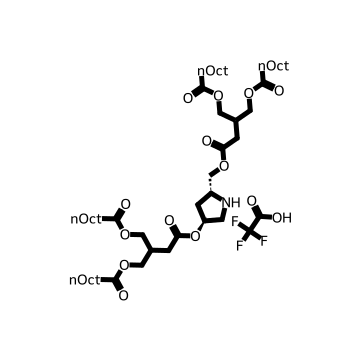 CCCCCCCCC(=O)OCC(COC(=O)CCCCCCCC)CC(=O)OC[C@H]1C[C@H](OC(=O)CC(COC(=O)CCCCCCCC)COC(=O)CCCCCCCC)CN1.O=C(O)C(F)(F)F